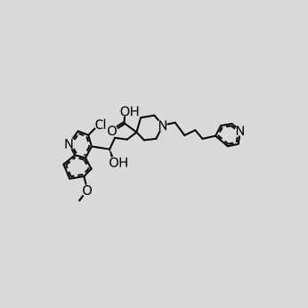 COc1ccc2ncc(Cl)c([C@H](O)CCC3(C(=O)O)CCN(CCCCc4ccncc4)CC3)c2c1